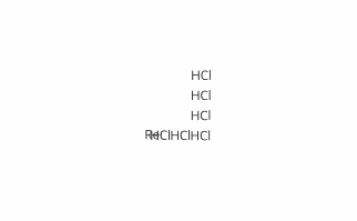 Cl.Cl.Cl.Cl.Cl.Cl.[Re]